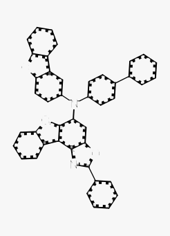 c1ccc(-c2ccc(N(c3ccc4oc5ccccc5c4c3)c3cc4oc(-c5ccccc5)nc4c4c3oc3ccccc34)cc2)cc1